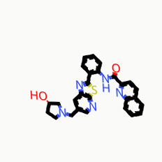 O=C(Nc1ccccc1-c1nc2cc(CN3CC[C@H](O)C3)cnc2s1)c1ccc2ccccc2n1